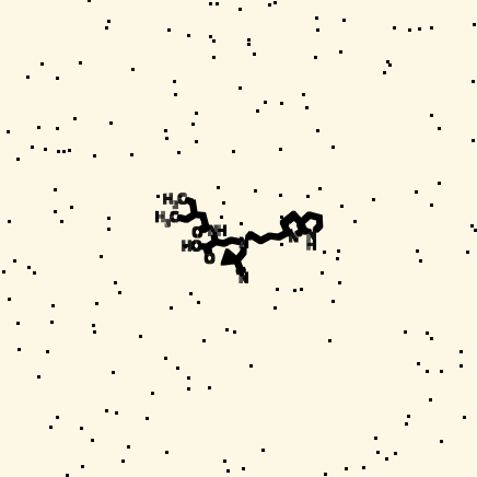 CCC(CC)CC(=O)NC(CCN(CCCCc1ccc2c(n1)NCCC2)CC1(C#N)CC1)C(=O)O